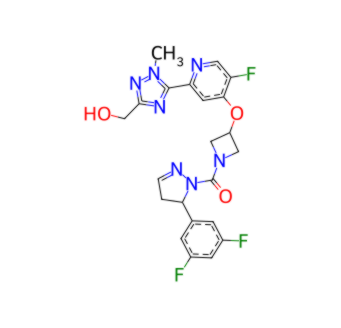 Cn1nc(CO)nc1-c1cc(OC2CN(C(=O)N3N=CCC3c3cc(F)cc(F)c3)C2)c(F)cn1